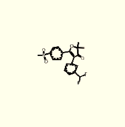 CC1(C)OC(c2ccc(S(C)(=O)=O)cc2)=C(c2cccc(C(F)F)c2)C1=O